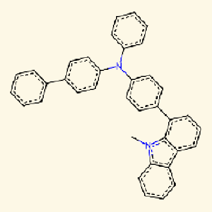 Cn1c2ccccc2c2cccc(-c3ccc(N(c4ccccc4)c4ccc(-c5ccccc5)cc4)cc3)c21